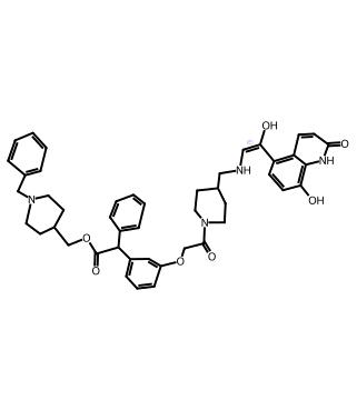 O=C(OCC1CCN(Cc2ccccc2)CC1)C(c1ccccc1)c1cccc(OCC(=O)N2CCC(CN/C=C(/O)c3ccc(O)c4[nH]c(=O)ccc34)CC2)c1